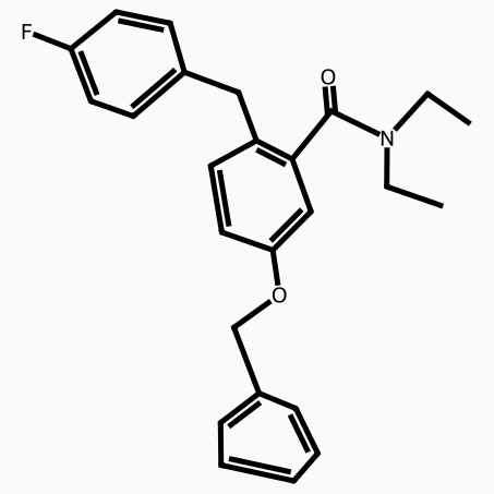 CCN(CC)C(=O)c1cc(OCc2ccccc2)ccc1Cc1ccc(F)cc1